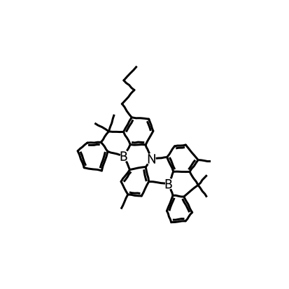 CCCCc1ccc2c3c1C(C)(C)c1ccccc1B3c1cc(C)cc3c1N2c1ccc(C)c2c1B3c1ccccc1C2(C)C